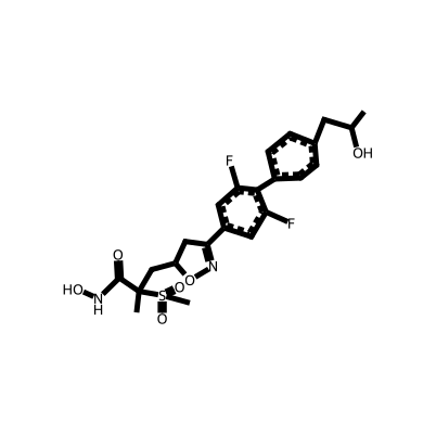 CC(O)Cc1ccc(-c2c(F)cc(C3=NOC(CC(C)(C(=O)NO)S(C)(=O)=O)C3)cc2F)cc1